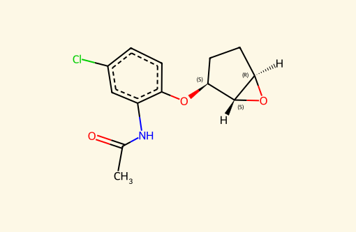 CC(=O)Nc1cc(Cl)ccc1O[C@H]1CC[C@H]2O[C@H]12